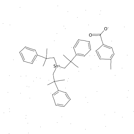 CC(C)([CH2][Sn+]([CH2]C(C)(C)c1ccccc1)[CH2]C(C)(C)c1ccccc1)c1ccccc1.Cc1ccc(C(=O)[O-])cc1